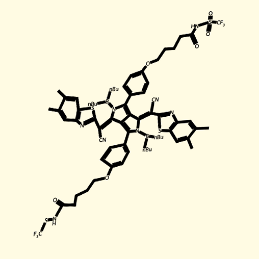 CCCCB(CCCC)n1c(-c2ccc(OCCCCC(=O)NSC(F)(F)F)cc2)c2/c(=C(\C#N)c3nc4cc(C)c(C)cc4s3)n(B(CCCC)CCCC)c(-c3ccc(OCCCCC(=O)NS(=O)(=O)C(F)(F)F)cc3)c2/c1=C(\C#N)c1nc2cc(C)c(C)cc2s1